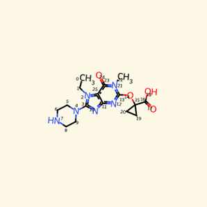 CCn1c(N2CCNCC2)nc2nc(OC3(C(=O)O)CC3)n(C)c(=O)c21